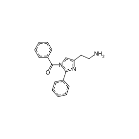 NCCc1cn(C(=O)c2ccccc2)c(-c2ccccc2)n1